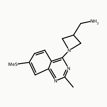 CSc1ccc2c(N3CC(CN)C3)nc(C)nc2c1